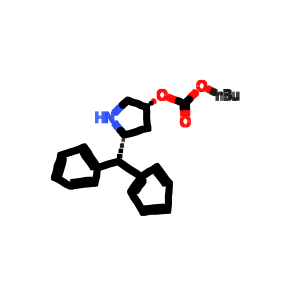 CCCCOC(=O)O[C@H]1CN[C@@H](C(c2ccccc2)c2ccccc2)C1